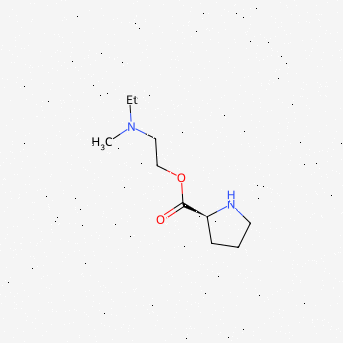 CCN(C)CCOC(=O)[C@@H]1CCCN1